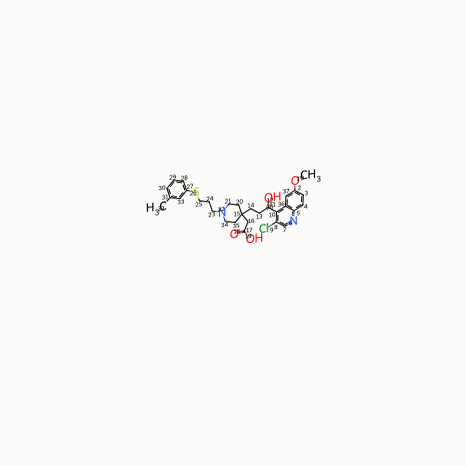 COc1ccc2ncc(Cl)c([C@H](O)CCC3(CC(=O)O)CCN(CCCSc4cccc(C)c4)CC3)c2c1